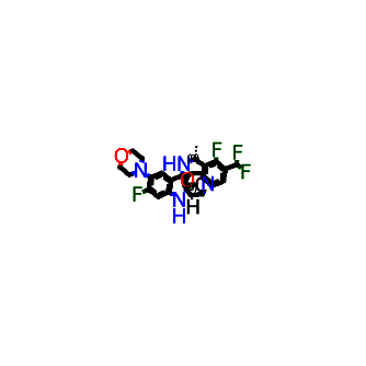 C[C@@H](NC(=O)c1cc(N2CCOCC2)c(F)cc1N[C@@H]1CN2CCC1CC2)c1cccc(C(F)F)c1F